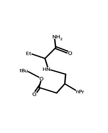 CCCC(CNC(CC)C(N)=O)CC(=O)OC(C)(C)C